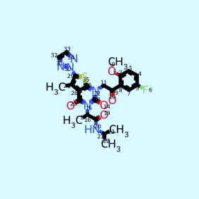 COc1ccc(F)cc1C(=O)Cn1c(=O)n(C(C)C(=O)NC(C)C)c(=O)c2c(C)c(-n3nccn3)sc21